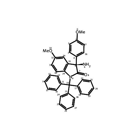 COc1ccc([C@]2(N)C(=O)N(C(c3ccccc3)(c3ccccc3)c3ccccc3)c3ccc(OC)cc32)cc1